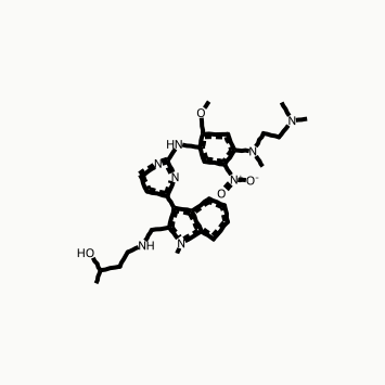 COc1cc(N(C)CCN(C)C)c([N+](=O)[O-])cc1Nc1nccc(-c2c(CNCCC(C)O)n(C)c3ccccc23)n1